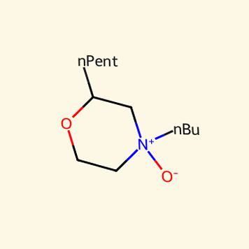 CCCCCC1C[N+]([O-])(CCCC)CCO1